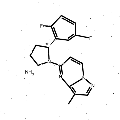 Cc1cnn2ccc(N3CCC[C@@H]3c3cc(F)ccc3F)nc12.N